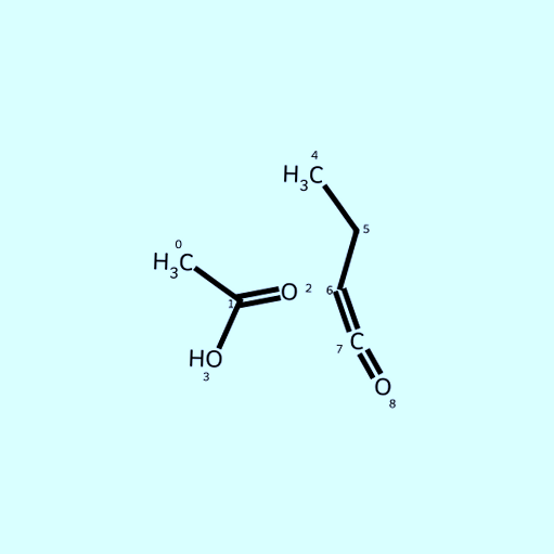 CC(=O)O.CCC=C=O